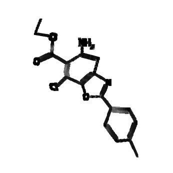 CCOC(=O)c1c(N)cc2nc(-c3ccc(C)cc3)oc2c1Cl